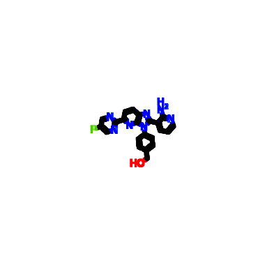 Nc1ncccc1-c1nc2ccc(-c3ncc(F)cn3)nc2n1-c1ccc(CO)cc1